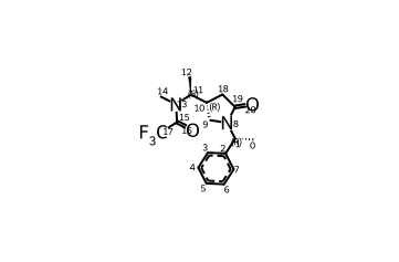 C[C@H](c1ccccc1)N1C[C@H]([C@H](C)N(C)C(=O)C(F)(F)F)CC1=O